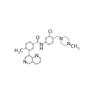 Cc1ccc(C(=O)Nc2ccc(CN3CCN(C)CC3)c(Cl)c2)cc1-c1cncc2cccnc12